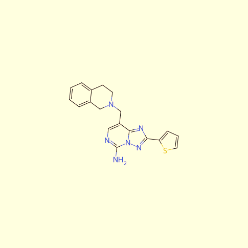 Nc1ncc(CN2CCc3ccccc3C2)c2nc(-c3cccs3)nn12